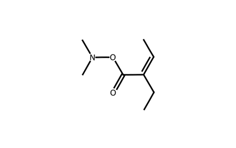 CC=C(CC)C(=O)ON(C)C